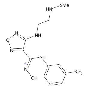 CSNCCNc1nonc1/C(=N/O)Nc1cccc(C(F)(F)F)c1